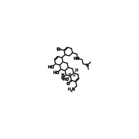 CCC1=CCC(CNCCN(C)C)CC1C1C=CC(O)C2C(O)C3C(CC12)C[C@H]1CC=C(CN)C(=O)[C@@]1(O)C3O